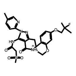 Cc1ccc(-n2nc3c(c2NC(=O)CS(C)(=O)=O)C(=O)N[C@@]2(CCOc4cc(OCC(C)(C)F)ccc42)C3)nc1